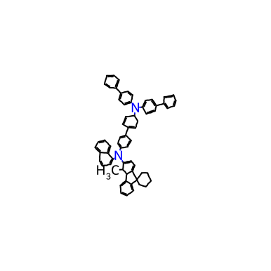 CC1C(N(c2ccc(C3=CCC(N(c4ccc(-c5ccccc5)cc4)c4ccc(-c5ccccc5)cc4)C=C3)cc2)c2cccc3ccccc23)=CC=C2C1c1ccccc1C21CCCCC1